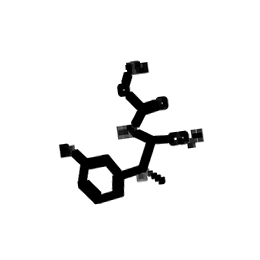 C[C@H](c1cccc(Br)c1)C(NC(=O)OC(C)(C)C)C(=O)O